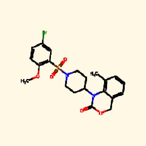 COc1ccc(Br)cc1S(=O)(=O)N1CCC(N2C(=O)OCc3cccc(C)c32)CC1